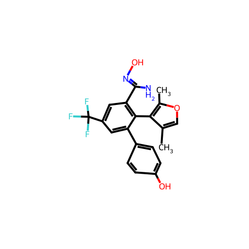 Cc1coc(C)c1-c1c(/C(N)=N/O)cc(C(F)(F)F)cc1-c1ccc(O)cc1